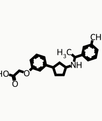 Cc1cccc(C(C)NC2CCC(c3cccc(OCC(=O)O)c3)C2)c1